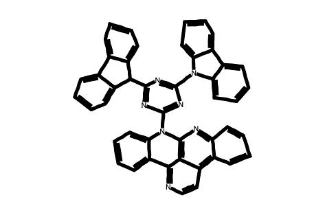 c1ccc2c(c1)-c1ccccc1C2c1nc(N2c3ccccc3-c3nccc4c3c2nc2ccccc24)nc(-n2c3ccccc3c3ccccc32)n1